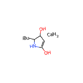 CCC(C)C1NC(O)=CC1O.[CaH2]